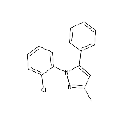 Cc1cc(-c2ccccc2)n(-c2ccccc2Cl)n1